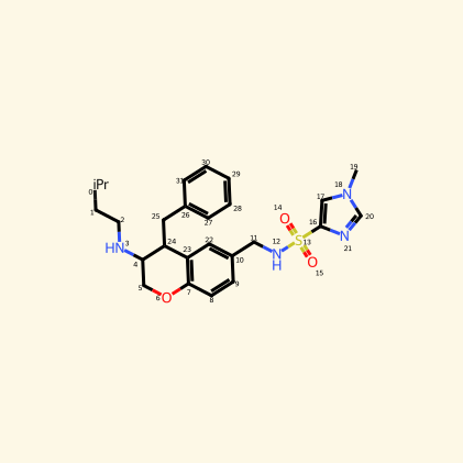 CC(C)CCNC1COc2ccc(CNS(=O)(=O)c3cn(C)cn3)cc2C1Cc1ccccc1